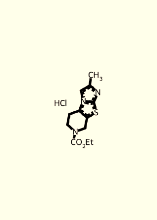 CCOC(=O)N1CCc2c(sc3nc(C)cn23)C1.Cl